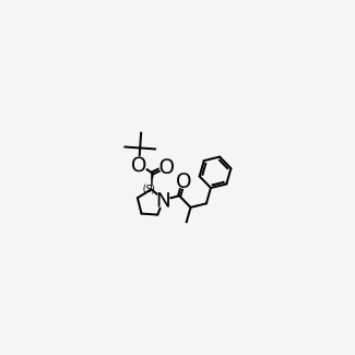 CC(Cc1ccccc1)C(=O)N1CCC[C@H]1C(=O)OC(C)(C)C